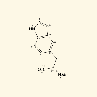 CN[C@@H](Cc1cnc2[nH]ncc2c1)C(=O)O